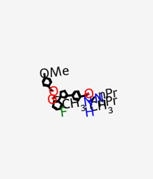 CCCN(CCC)C[C@@H](C)NC(=O)c1ccc(C2=C[C@](C(=O)OCc3ccc(OC)cc3)(c3cccc(F)c3C)CC2)cc1